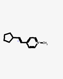 C[n+]1ccc(/C=C/C2CCCC2)cc1